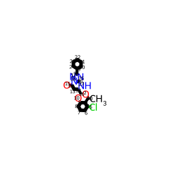 CC(=O)c1c(Cl)cccc1OCc1cc(=O)n2nc(-c3ccccc3)nc2[nH]1